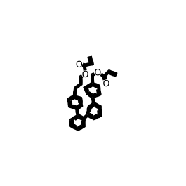 C=CC(=O)OCCCc1ccc(-c2ccccc2-c2cccc(-c3ccc(COC(=O)C=C)cc3)c2)cc1